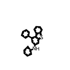 c1ccc(Nc2cc(-c3ccccc3)c3c(c2)sc2ccccc23)cc1